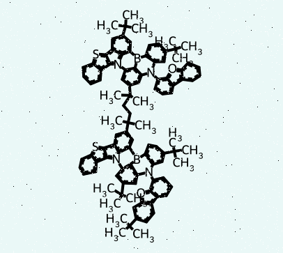 CC(C)(C)c1ccc2c(c1)N(c1cccc3c1oc1ccccc13)c1cc(C(C)(C)CCC(C)(C)c3cc4c5c(c3)c3sc6ccccc6c3n5-c3cc(C(C)(C)C)cc5c3B4c3ccc(C(C)(C)C)cc3N5c3cccc4c3oc3cc(C(C)(C)C)ccc34)cc3c1B2c1cc(C(C)(C)C)cc2c4sc5ccccc5c4n-3c12